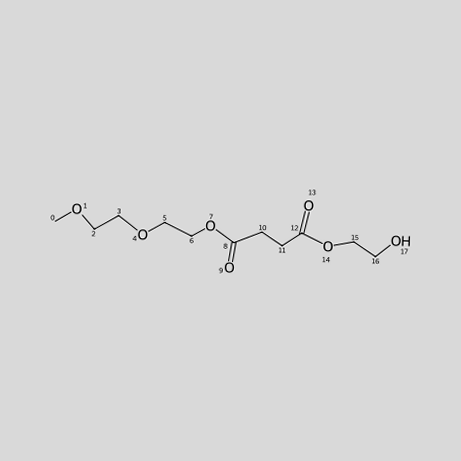 COCCOCCOC(=O)CCC(=O)OCCO